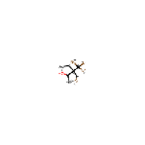 CCCC(O)C(CBr)(CC(C)=O)C(Br)(Br)Br